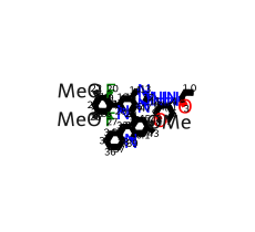 C=CC(=O)N[C@H]1CCOC[C@H]1Nc1ncc2cc(-c3c(F)c(OC)cc(OC)c3F)nc(C3=c4cc5ccccc5nc4=CC(C)(OC)C3)c2n1